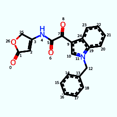 O=C1C=C(NC(=O)C(=O)c2cn(Cc3cc[c]cc3)c3ccccc23)CO1